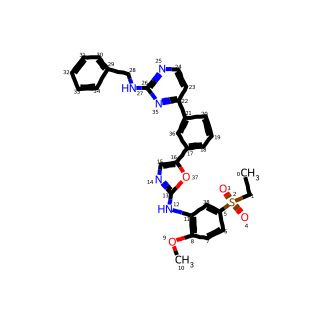 CCS(=O)(=O)c1ccc(OC)c(Nc2ncc(-c3cccc(-c4ccnc(NCc5ccccc5)n4)c3)o2)c1